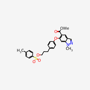 COC(=O)c1cc2cnn(C)c2cc1Oc1ccc(CCCOS(=O)(=O)c2ccc(C)cc2)cc1